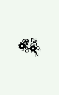 COc1c(C#N)cc(C(=O)N2CS(=O)(=O)c3ccccc32)cc1OC(F)(F)F